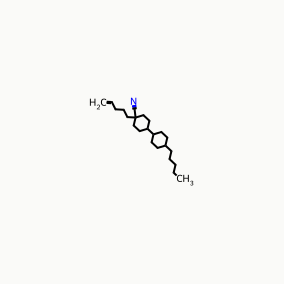 C=CCCCC1(C#N)CCC(C2CCC(CCCCC)CC2)CC1